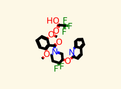 COc1cccc(OC)c1C(=O)N1CCC(F)(F)C(Oc2ccc3ccccc3n2)C1.O=C(O)C(F)(F)F